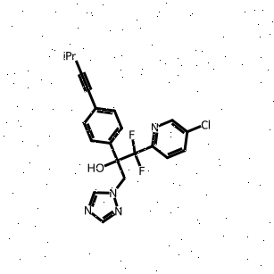 CC(C)C#Cc1ccc(C(O)(Cn2cncn2)C(F)(F)c2ccc(Cl)cn2)cc1